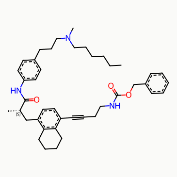 CCCCCCN(C)CCCc1ccc(NC(=O)[C@@H](C)Cc2ccc(C#CCCNC(=O)OCc3ccccc3)c3c2CCCC3)cc1